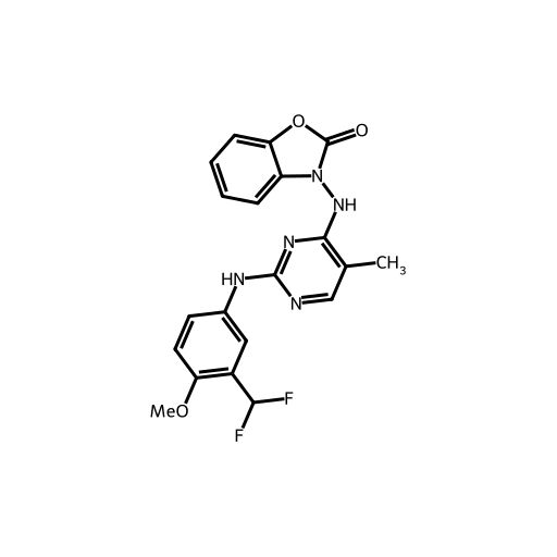 COc1ccc(Nc2ncc(C)c(Nn3c(=O)oc4ccccc43)n2)cc1C(F)F